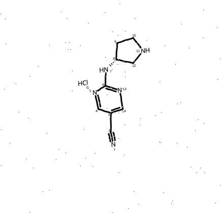 Cl.N#Cc1cnc(N[C@@H]2CCNC2)nc1